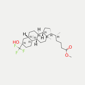 COC(=O)CCC[C@@H](C)[C@H]1CC[C@H]2[C@@H]3CC[C@H]4C[C@](O)(C(F)(F)F)CC[C@]4(C)[C@H]3CC[C@]12C